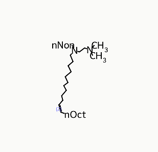 CCCCCCCC/C=C\CCCCCCCCCCN(CCCCCCCCC)CCN(C)C